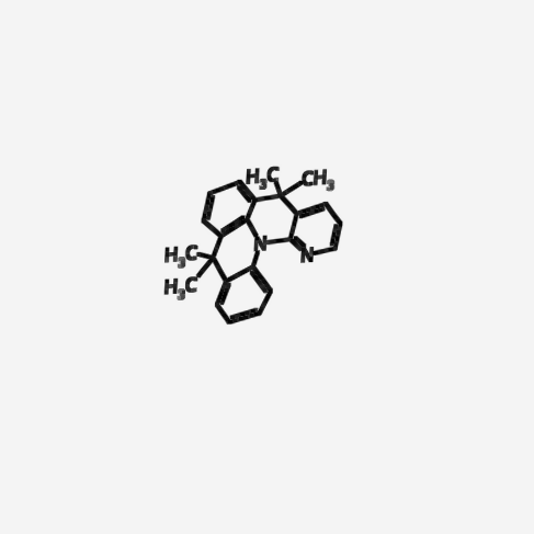 CC1(C)c2ccccc2N2c3ncccc3C(C)(C)c3cccc1c32